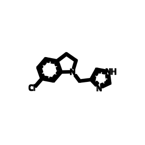 Clc1ccc2c(c1)N(Cc1c[nH]cn1)CC2